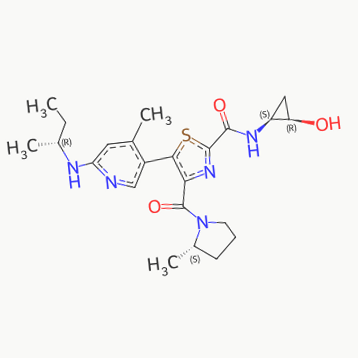 CC[C@@H](C)Nc1cc(C)c(-c2sc(C(=O)N[C@H]3C[C@H]3O)nc2C(=O)N2CCC[C@@H]2C)cn1